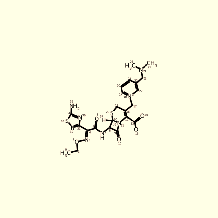 CCON=C(C(=O)NC1C(=O)N2C(C(=O)[O-])=C(C[n+]3cccc(CN(C)C)c3)CS[C@@H]12)c1nsc(N)n1